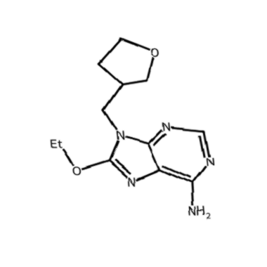 CCOc1nc2c(N)ncnc2n1CC1CCOC1